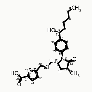 CCCCC[C@H](O)c1ccc(N2C(=O)C(C)C[C@@H]2COCc2ccc(C(=O)O)s2)cc1